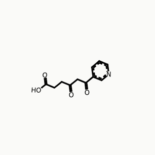 O=C(O)CCC(=O)CC(=O)c1cccnc1